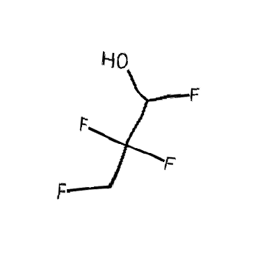 OC(F)C(F)(F)CF